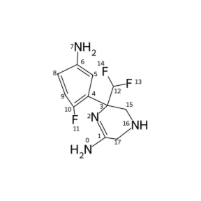 NC1=NC(c2cc(N)ccc2F)(C(F)F)CNC1